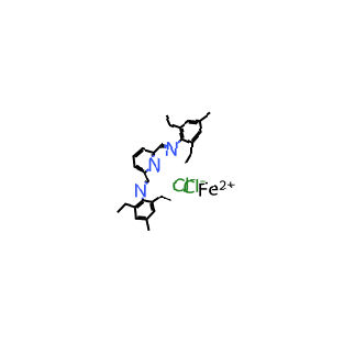 CCc1cc(C)cc(CC)c1N=Cc1cccc(C=Nc2c(CC)cc(C)cc2CC)n1.[Cl-].[Cl-].[Fe+2]